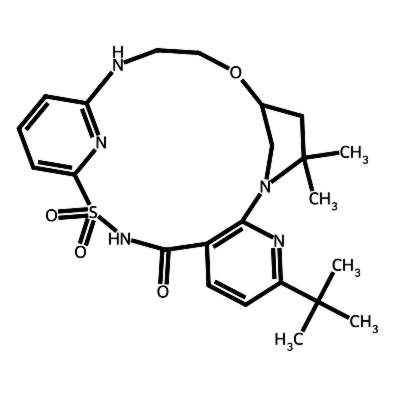 CC(C)(C)c1ccc2c(n1)N1CC(CC1(C)C)OCCNc1cccc(n1)S(=O)(=O)NC2=O